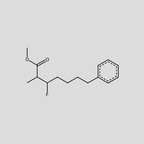 COC(=O)C(C)C(F)CCCCc1ccccc1